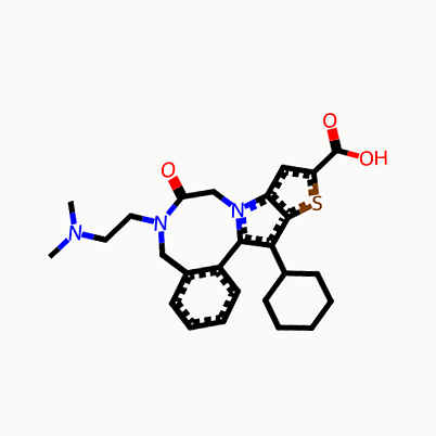 CN(C)CCN1Cc2ccccc2-c2c(C3CCCCC3)c3sc(C(=O)O)cc3n2CC1=O